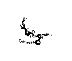 CCOCCn1cc(NC(=O)c2ccc(-c3cnn(CCC(C)C)c3)o2)c(-c2ccccn2)n1.O=CO